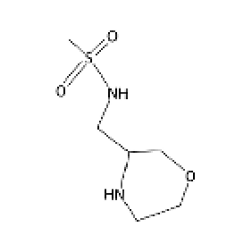 CS(=O)(=O)NCC1COCCN1